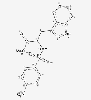 COC(=O)C(Cc1c[nH]c2ccccc12)NS(=O)(=O)c1ccc([N+](=O)[O-])cc1